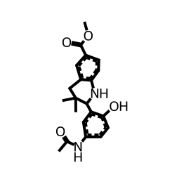 COC(=O)c1ccc2c(c1)CC(C)(C)C(c1cc(NC(C)=O)ccc1O)N2